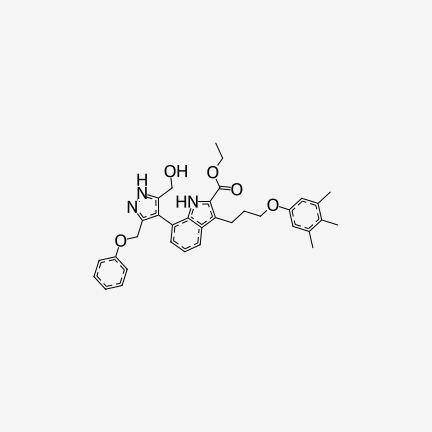 CCOC(=O)c1[nH]c2c(-c3c(COc4ccccc4)n[nH]c3CO)cccc2c1CCCOc1cc(C)c(C)c(C)c1